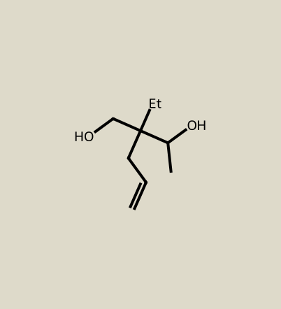 C=CCC(CC)(CO)C(C)O